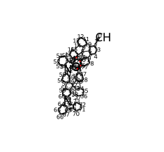 C#Cc1ccc2c(c1)C1(c3ccccc3-c3ccccc31)c1cc(C(=O)c3ccc4c(c3)C3(C5=C4C=CCC5)c4cc(-n5c6ccccc6c6ccccc65)ccc4-c4ccc(-n5c6ccccc6c6ccccc65)cc43)ccc1-2